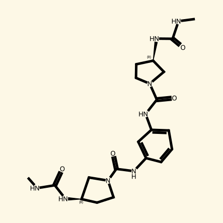 CNC(=O)N[C@@H]1CCN(C(=O)Nc2cccc(NC(=O)N3CC[C@@H](NC(=O)NC)C3)c2)C1